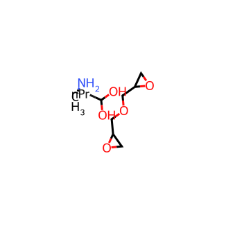 C(OCC1CO1)C1CO1.CCCC(O)O.CN